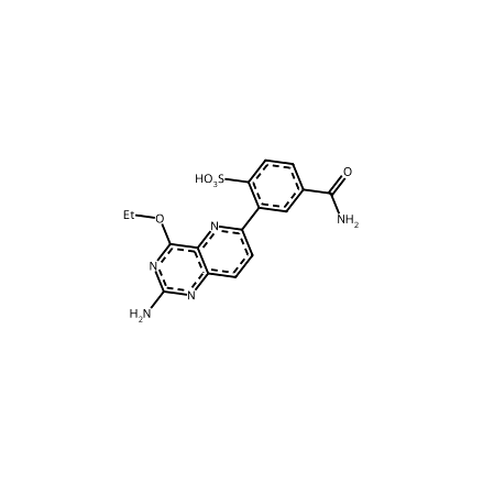 CCOc1nc(N)nc2ccc(-c3cc(C(N)=O)ccc3S(=O)(=O)O)nc12